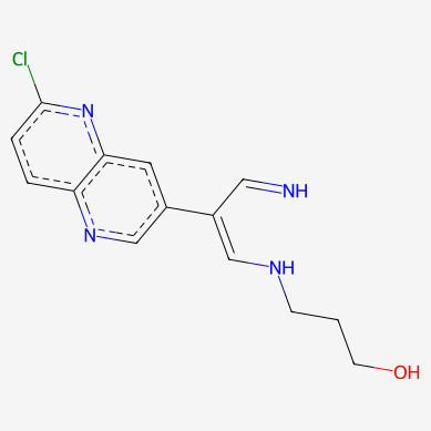 N=C/C(=C\NCCCO)c1cnc2ccc(Cl)nc2c1